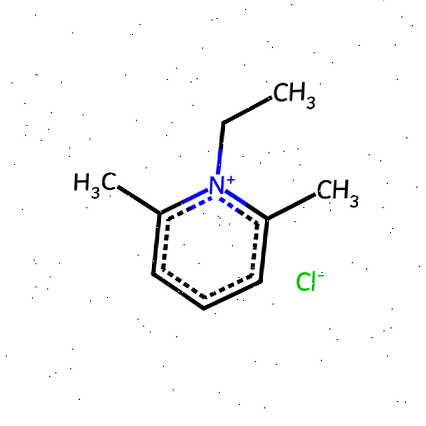 CC[n+]1c(C)cccc1C.[Cl-]